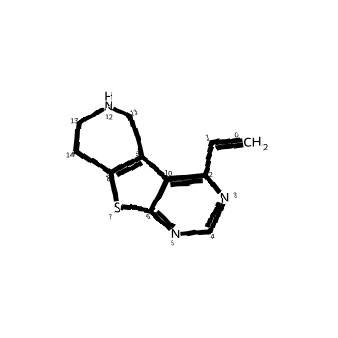 C=Cc1ncnc2sc3c(c12)CNCC3